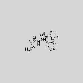 CC(CN)C(=O)Nc1nc(C2CCCN2c2ccccc2)cs1